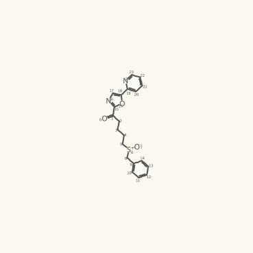 O=C(CCCC[S+]([O-])Cc1ccccc1)c1ncc(-c2ccccn2)o1